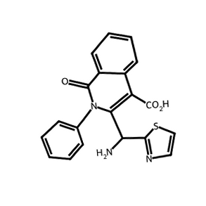 NC(c1nccs1)c1c(C(=O)O)c2ccccc2c(=O)n1-c1ccccc1